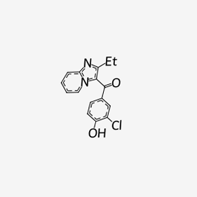 CCc1nc2ccccn2c1C(=O)c1ccc(O)c(Cl)c1